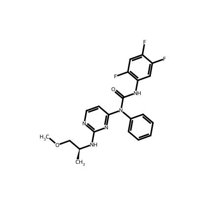 COC[C@H](C)Nc1nccc(N(C(=O)Nc2cc(F)c(F)cc2F)c2ccccc2)n1